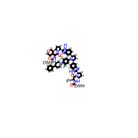 COC(=O)NC(C(=O)N1CCC[C@H]1c1nc2cc([C@H]3CC[C@H](c4ccc5[nH]c([C@@H]6CCCN6C(=O)[C@@H](NC(=O)OC)C(C)C)nc5c4)N3c3cc(F)c(N4CCC(c5ccccc5)CC4)c(F)c3)ccc2[nH]1)C1CCOCC1